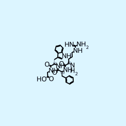 N=C(N)NCCC[C@H](N)C(=O)N[C@@H](Cc1ccccc1)C(=O)N[C@@H](Cc1c[nH]c2ccccc12)C(=O)NCC(=O)O